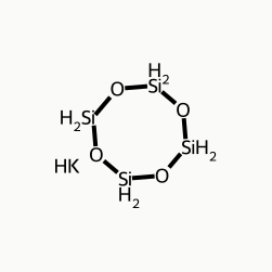 O1[SiH2]O[SiH2]O[SiH2]O[SiH2]1.[KH]